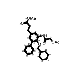 COC(=O)CCc1cc(NC(=O)COC(C)=O)c(OCC2CCCCC2)c(-c2ccccc2)c1